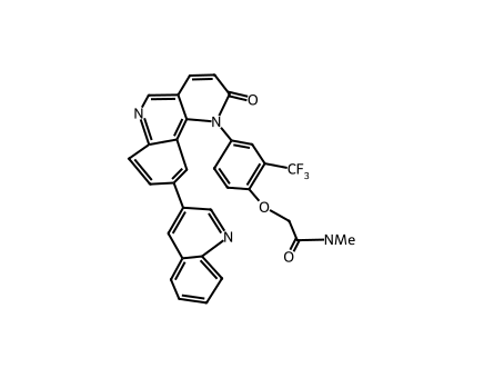 CNC(=O)COc1ccc(-n2c(=O)ccc3cnc4ccc(-c5cnc6ccccc6c5)cc4c32)cc1C(F)(F)F